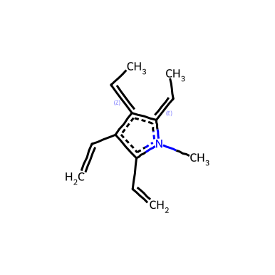 C=Cc1c(C=C)n(C)c(=C/C)/c1=C\C